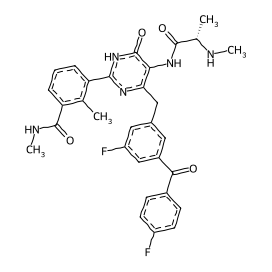 CNC(=O)c1cccc(-c2nc(Cc3cc(F)cc(C(=O)c4ccc(F)cc4)c3)c(NC(=O)[C@H](C)NC)c(=O)[nH]2)c1C